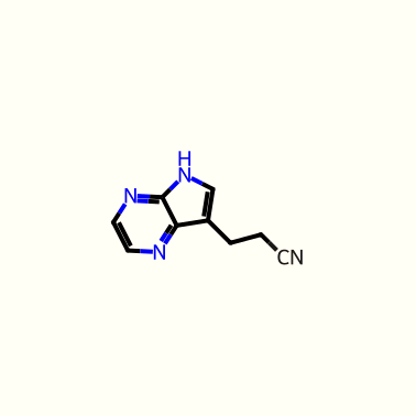 N#CCCc1c[nH]c2nccnc12